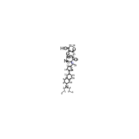 CCCN(CCC)c1ccc2cc(-c3ccc(/C(C)=C(\C#N)C(=O)NC[C@H]4OCC[C@@H](O)[C@@H]4O)s3)ccc2c1